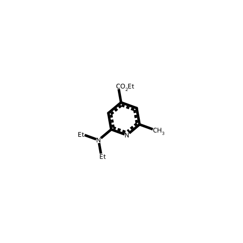 CCOC(=O)c1cc(C)nc(N(CC)CC)c1